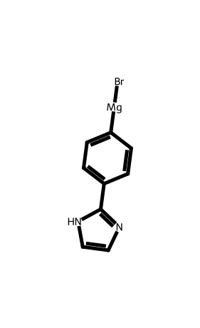 [Br][Mg][c]1ccc(-c2ncc[nH]2)cc1